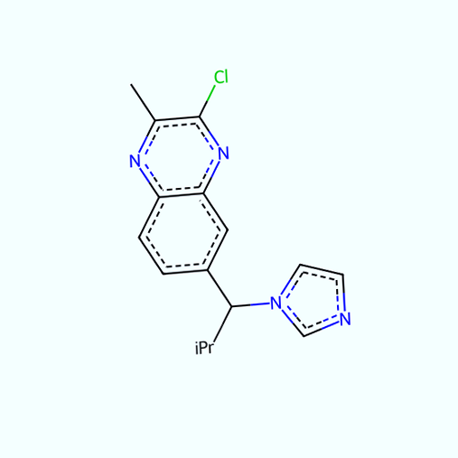 Cc1nc2ccc(C(C(C)C)n3ccnc3)cc2nc1Cl